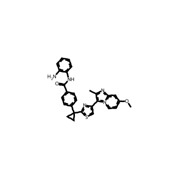 COc1ccn2c(-c3csc(C4(c5ccc(C(=O)Nc6ccccc6N)cc5)CC4)n3)c(C)nc2c1